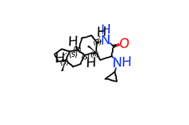 C[C@@]12CCC[C@H]1[C@@H]1CC[C@H]3NC(=O)C(NC4CC4)C[C@]3(C)[C@H]1CC2